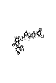 O=C1CCC(N2Cc3c(OCCN4CCC[C@@H]4C(=O)N4CCN(c5cc(Cl)cc(Cl)c5)CC4)cccc3C2=O)C(=O)N1